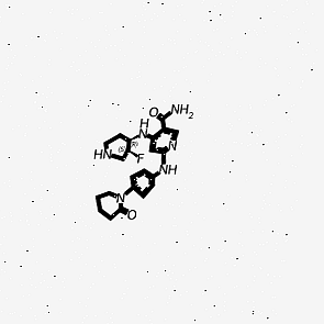 NC(=O)c1cnc(Nc2ccc(N3CCCCC3=O)cc2)cc1N[C@@H]1CCNC[C@@H]1F